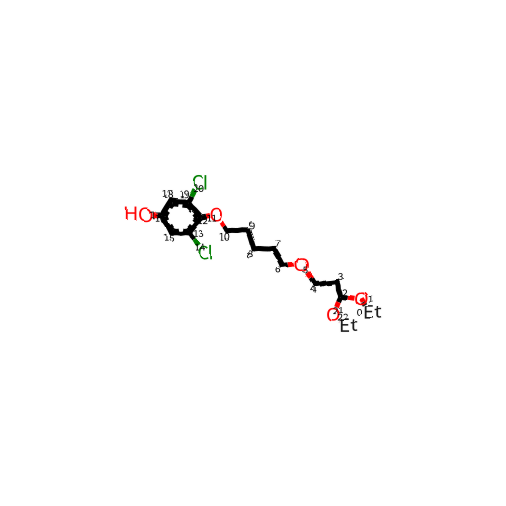 CCOC(CCOCCCCCOc1c(Cl)cc(O)cc1Cl)OCC